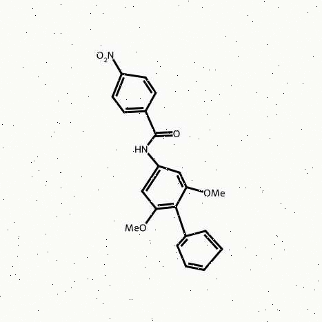 COc1cc(NC(=O)c2ccc([N+](=O)[O-])cc2)cc(OC)c1-c1ccccc1